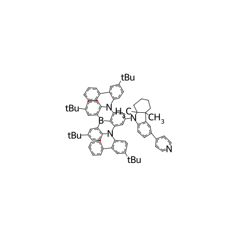 CC(C)(C)c1ccc2c(c1)B1c3cc(C(C)(C)C)ccc3N(c3ccc(C(C)(C)C)cc3-c3ccccc3)c3cc(N4c5ccc(-c6ccncc6)cc5C5(C)CCCCC45C)cc(c31)N2c1ccc(C(C)(C)C)cc1-c1ccccc1